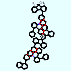 CC1(C)c2ccccc2-c2c(-c3ccc(N(c4ccc5c(c4)cc(CC4(C)c6ccccc6-c6c(-c7ccc(N(c8cccc(-c9cccc%10ccccc9%10)c8)c8cccc(-c9ccccc9)c8-c8ccccc8-c8ccccc8)cc7)cccc64)c4ccccc45)c4cccc(-c5ccccc5)c4-c4ccccc4-c4ccccc4)cc3)cccc21